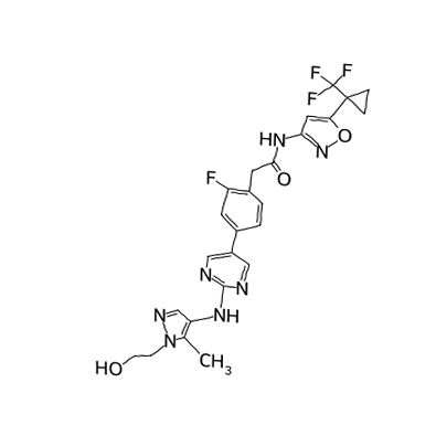 Cc1c(Nc2ncc(-c3ccc(CC(=O)Nc4cc(C5(C(F)(F)F)CC5)on4)c(F)c3)cn2)cnn1CCO